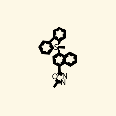 Cc1nnc(-c2ccc([Si]3(C)c4ccccc4-c4ccccc43)c3ccccc23)o1